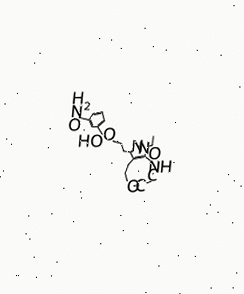 CCn1nc(CCCOC(O)c2cccc(C(N)=O)c2)c2c1C(=O)NCCCOCCC2